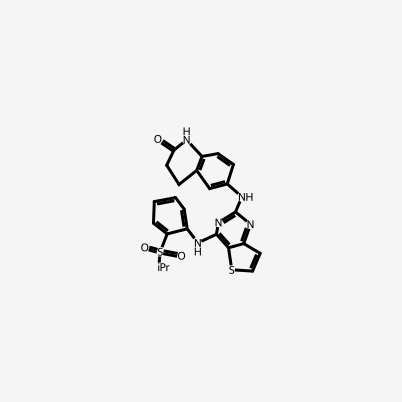 CC(C)S(=O)(=O)c1ccccc1Nc1nc(Nc2ccc3c(c2)CCC(=O)N3)nc2ccsc12